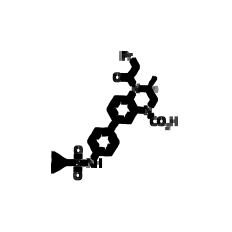 CC(C)CC(=O)N1c2ccc(-c3ccc(NS(=O)(=O)C4CC4)cc3)cc2N(C(=O)O)C[C@@H]1C